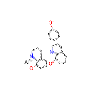 [Al+3].[O-]c1cccc2cccnc12.[O-]c1cccc2cccnc12.[O-]c1ccccc1